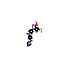 COC(=O)c1cc(OC)ccc1Nc1ccc(N(C)c2ccc(CN3CCCCC3)cc2)cc1